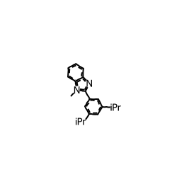 CC(C)c1cc(-c2nc3ccccc3n2C)cc(C(C)C)c1